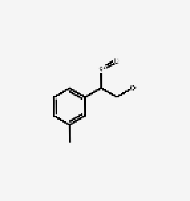 Cc1cccc(C(C[O])[S+]=O)c1